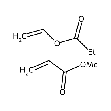 C=CC(=O)OC.C=COC(=O)CC